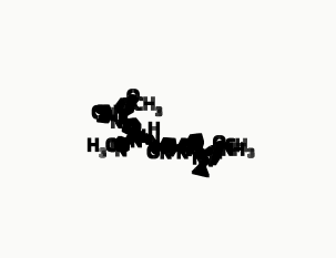 CNC(=O)N1CCn2c(C3CC3)nc(-c3cccc4cc(-c5ccc(C(=O)NCCn6nc(-c7cnn(C)c7)c7cc(-c8nc(N9CCOCC9)n9c8CN(C(C)=O)CC9)ccc76)nc5)ncc34)c2C1